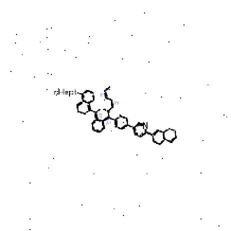 C/C=C\C=C/C(C)/C(C1=CC=C(c2ccc(C3=CC4=C(C=CCC4)CC3)nc2)CC1)=c1/cccc/c1=C(/C)C1=c2cccc(CCCCCCC)c2=CCC1